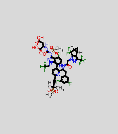 CC(C)(C#Cc1ccc(-c2ccc(Cl)c3c(N(C(=O)NC(CC(=O)O)C(=O)O)S(C)(=O)=O)nn(CC(F)(F)F)c23)c(C(Cc2cc(F)cc(F)c2)NC(=O)Cn2nc(C(F)(F)F)c3c2C(F)(F)[C@@H]2C[C@H]32)n1)S(C)(=O)=O